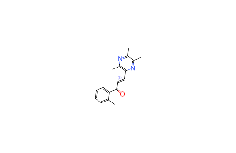 Cc1ccccc1C(=O)/C=C/c1nc(C)c(C)nc1C